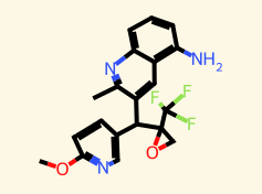 COc1ccc(C(c2cc3c(N)cccc3nc2C)C2(C(F)(F)F)CO2)cn1